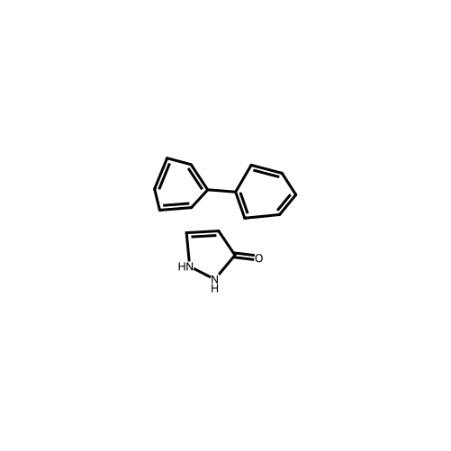 O=c1cc[nH][nH]1.c1ccc(-c2ccccc2)cc1